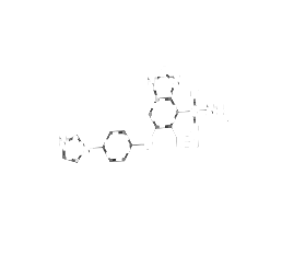 CCCCc1c(Oc2ccc(-n3ccnc3)cc2)cc2nsnc2c1S(N)(=O)=O